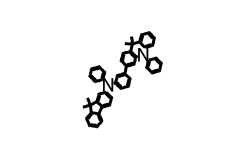 CC1(C)c2ccccc2-c2ccc(N(c3ccccc3)c3cccc(-c4ccc5c(c4)N(c4ccccc4)c4ccccc4C5(C)C)c3)cc21